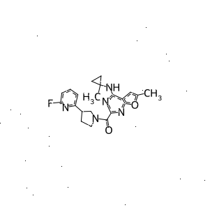 Cc1cc2c(NC3(C)CC3)nc(C(=O)N3CCC(c4cccc(F)n4)C3)nc2o1